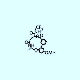 COc1ccc2c(c1)-c1cccc(c1)C(=O)N(C)[C@H](C(=O)NCC(F)(F)F)CCC(=O)N[C@H](C)CO2